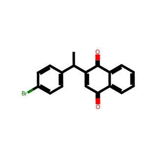 CC(C1=CC(=O)c2ccccc2C1=O)c1ccc(Br)cc1